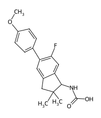 COc1ccc(-c2cc3c(cc2F)C(NC(=O)O)C(C)(C)C3)cc1